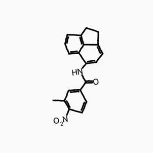 Cc1cc(C(=O)Nc2ccc3c4c(cccc24)CC3)ccc1[N+](=O)[O-]